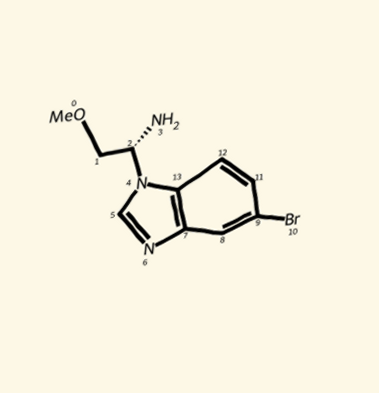 COC[C@H](N)n1cnc2cc(Br)ccc21